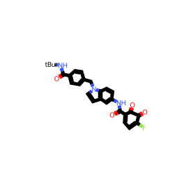 CC(C)(C)NC(=O)c1ccc(Cn2ccc3cc(NC(=O)C4=CC=C(F)C(=O)C4=O)ccc32)cc1